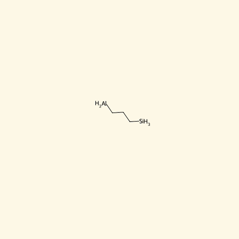 [AlH2][CH2]CC[SiH3]